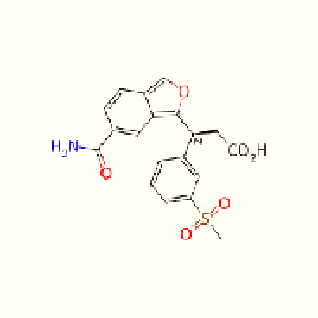 CS(=O)(=O)c1cccc([C@H](CC(=O)O)c2occ3ccc(C(N)=O)cc23)c1